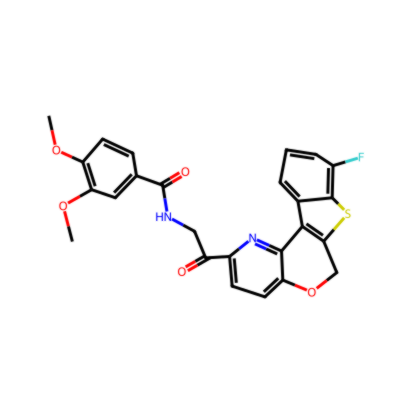 COc1ccc(C(=O)NCC(=O)c2ccc3c(n2)-c2c(sc4c(F)cccc24)CO3)cc1OC